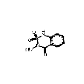 CCCCN1C(=O)c2ccccc2NS1(=O)=O